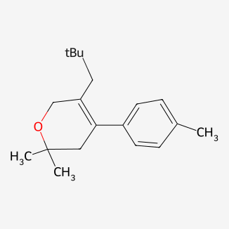 Cc1ccc(C2=C(CC(C)(C)C)COC(C)(C)C2)cc1